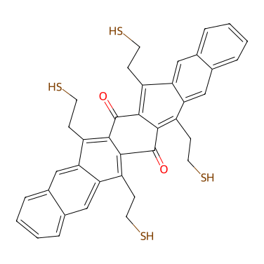 O=C1c2c(c(CCS)c3cc4ccccc4cc3c2CCS)C(=O)c2c1c(CCS)c1cc3ccccc3cc1c2CCS